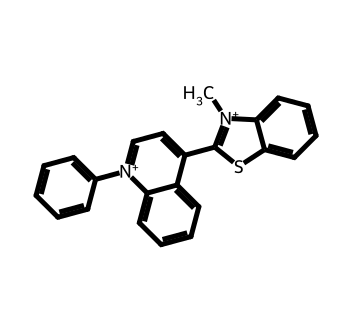 C[n+]1c(-c2cc[n+](-c3ccccc3)c3ccccc23)sc2ccccc21